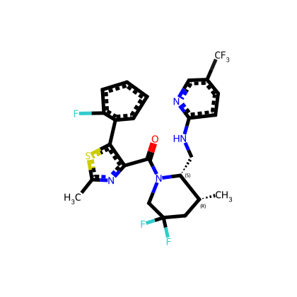 Cc1nc(C(=O)N2CC(F)(F)C[C@@H](C)[C@H]2CNc2ccc(C(F)(F)F)cn2)c(-c2ccccc2F)s1